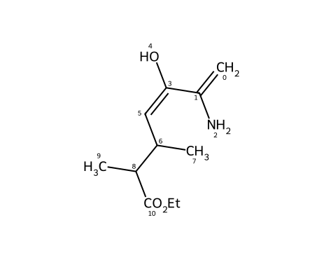 C=C(N)/C(O)=C\C(C)C(C)C(=O)OCC